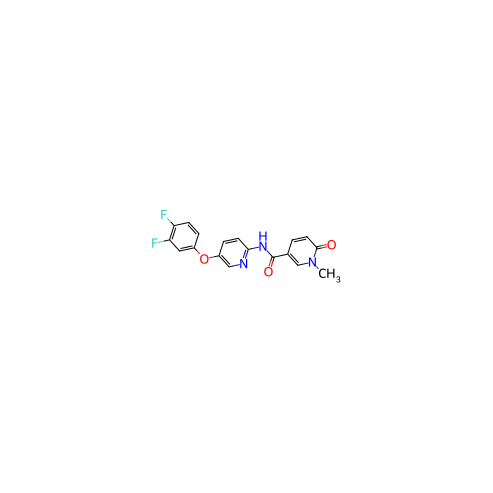 Cn1cc(C(=O)Nc2ccc(Oc3ccc(F)c(F)c3)cn2)ccc1=O